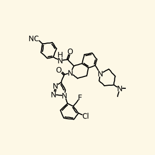 CN(C)C1CCN(c2cccc3c2CCN(C(=O)c2cn(-c4cccc(Cl)c4F)nn2)C3C(=O)Nc2ccc(C#N)cc2)CC1